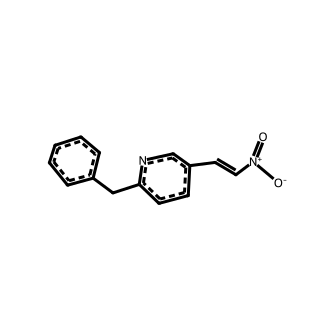 O=[N+]([O-])C=Cc1ccc(Cc2ccccc2)nc1